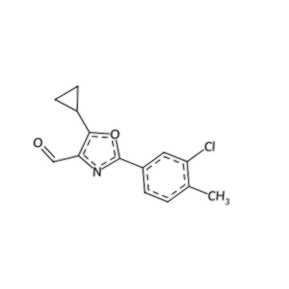 Cc1ccc(-c2nc(C=O)c(C3CC3)o2)cc1Cl